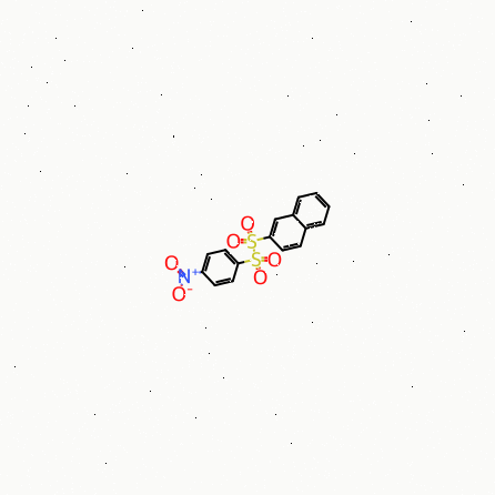 O=[N+]([O-])c1ccc(S(=O)(=O)S(=O)(=O)c2ccc3ccccc3c2)cc1